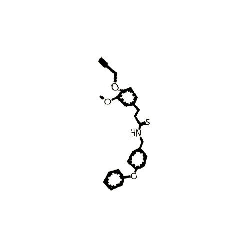 C#CCOc1ccc(CCC(=S)NCc2ccc(Oc3ccccc3)cc2)cc1OC